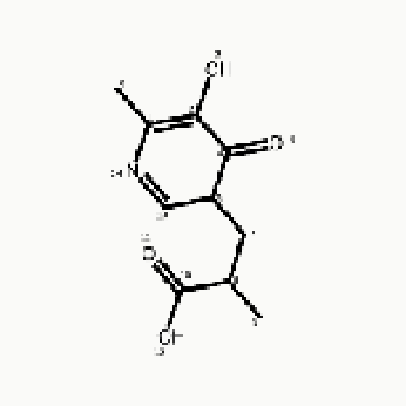 CC1=C(O)C(=O)C(CC(C)C(=O)O)C=N1